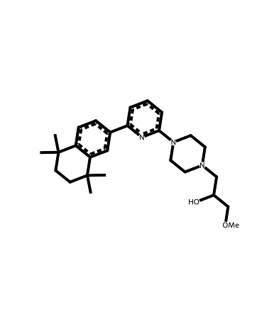 COCC(O)CN1CCN(c2cccc(-c3ccc4c(c3)C(C)(C)CCC4(C)C)n2)CC1